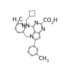 Cc1cccc(-c2cc3nc(C(=O)O)nc(N[C@H](C)C4CCC4)c3n2Cc2ccccc2)c1